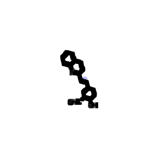 O=Cc1cc(/C=C/c2ccc3ccccc3n2)ccc1O